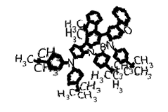 CC(C)(C)c1ccc(N2B3c4cc(C(C)(C)C)ccc4-n4c5cc(N(c6ccc(C(C)(C)C)cc6)c6ccc(C(C)(C)C)cc6)ccc5c5c6c(c(c3c54)-c3cc4c(cc32)oc2ccccc24)-c2ccccc2C6(C)C)cc1